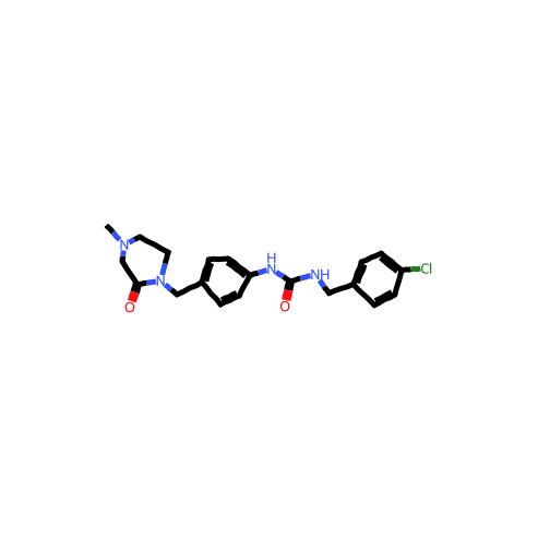 CN1CCN(Cc2ccc(NC(=O)NCc3ccc(Cl)cc3)cc2)C(=O)C1